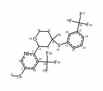 CSc1cnc(C2CC(C)(Sc3cccc(C(F)(F)F)c3)CCO2)c(C(F)(F)F)c1